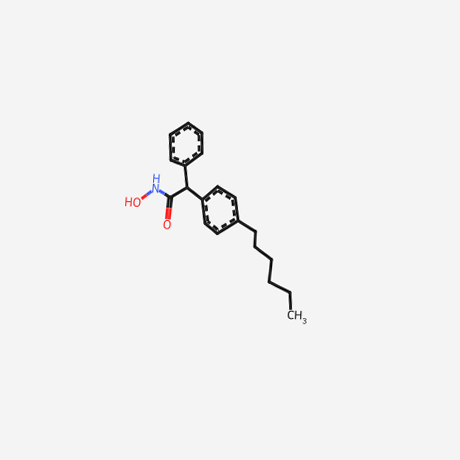 CCCCCCc1ccc(C(C(=O)NO)c2ccccc2)cc1